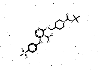 CC(C)(C)OC(=O)N1CCC(COc2ncnc(Nc3ccc(S(C)(=O)=O)cc3)c2[N+](=O)[O-])CC1